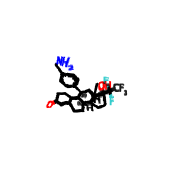 C[C@]12C[C@H](c3ccc(CN)cc3)C3=C4CCC(=O)C=C4CC[C@H]3[C@@H]1CC[C@]2(O)C(F)(F)C(F)(F)F